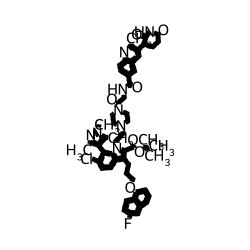 Cc1nc2ccc(C(=O)NCC(=O)N3CCN(CCn4c(C(=O)OC(C)(C)C)c(CCCOc5cccc6cc(F)ccc56)c5ccc(Cl)c(-c6c(C)nn(C)c6C)c54)CC3)cc2cc1C1CCC(=O)NC1=O